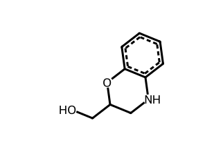 OCC1CNc2ccccc2O1